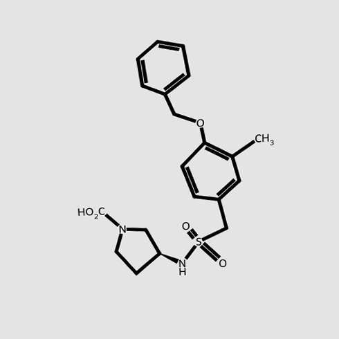 Cc1cc(CS(=O)(=O)N[C@H]2CCN(C(=O)O)C2)ccc1OCc1ccccc1